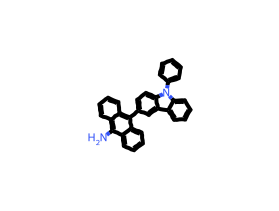 Nc1c2ccccc2c(-c2ccc3c(c2)c2ccccc2n3-c2ccccc2)c2ccccc12